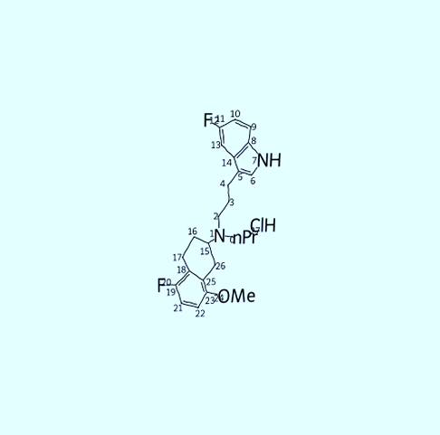 CCCN(CCCc1c[nH]c2ccc(F)cc12)C1CCc2c(F)ccc(OC)c2C1.Cl